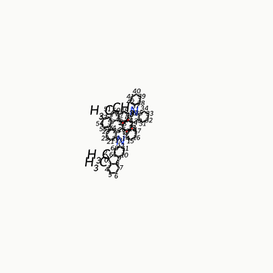 CC1(C)c2ccccc2-c2ccc(N(c3ccccc3)c3ccccc3-c3ccc(-c4ccccc4N(c4ccccc4)c4ccc5c(c4)C(C)(C)c4ccccc4-5)cc3)cc21